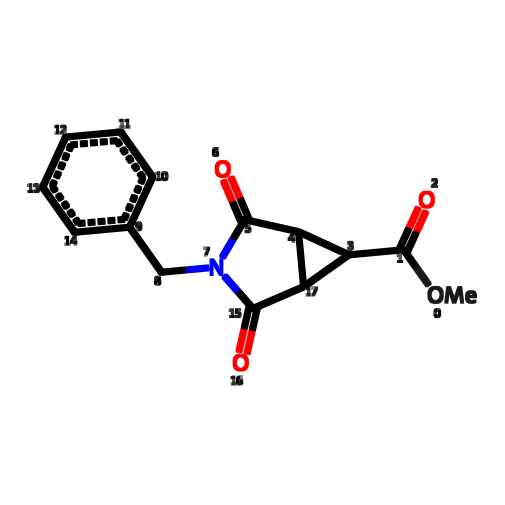 COC(=O)C1C2C(=O)N(Cc3ccccc3)C(=O)C12